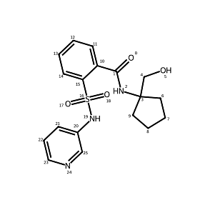 O=C(NC1(CO)CCCC1)c1ccccc1S(=O)(=O)Nc1cccnc1